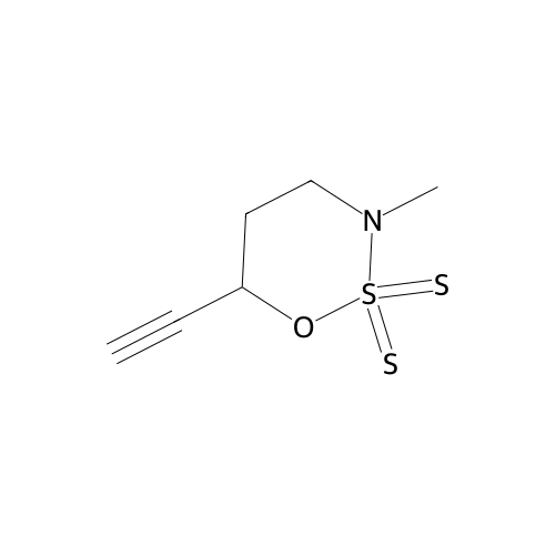 C#CC1CCN(C)S(=S)(=S)O1